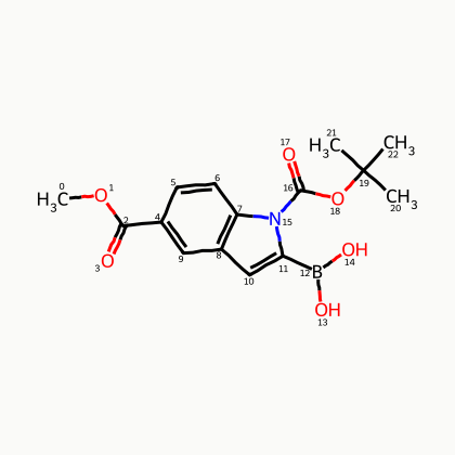 COC(=O)c1ccc2c(c1)cc(B(O)O)n2C(=O)OC(C)(C)C